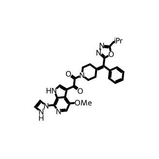 COc1cnc(-n2cc[nH]2)c2[nH]cc(C(=O)C(=O)N3CCC(=C(c4ccccc4)c4nnc(C(C)C)o4)CC3)c12